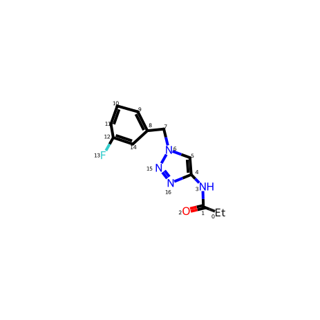 CCC(=O)Nc1cn(Cc2cccc(F)c2)nn1